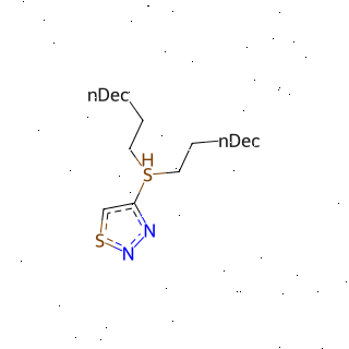 CCCCCCCCCCCC[SH](CCCCCCCCCCCC)c1csnn1